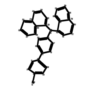 Brc1ccc(-c2ccc(N(c3cccc4ccccc34)c3cccc4ccccc34)cc2)cc1